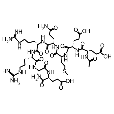 CSCC[C@H](NC(=O)[C@H](CCC(=O)O)NC(=O)[C@H](CCC(=O)O)NC(C)=O)C(=O)N[C@@H](CCC(N)=O)C(=O)N[C@@H](CCCNC(=N)N)C(=O)N[C@@H](CCCNC(=N)N)C(=O)N[C@@H](C)C(=O)N[C@@H](CCC(=O)O)C(N)=O